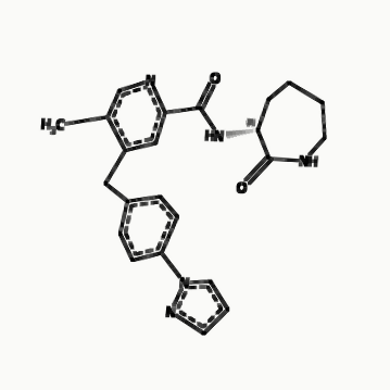 Cc1cnc(C(=O)N[C@@H]2CCCCNC2=O)cc1Cc1ccc(-n2cccn2)cc1